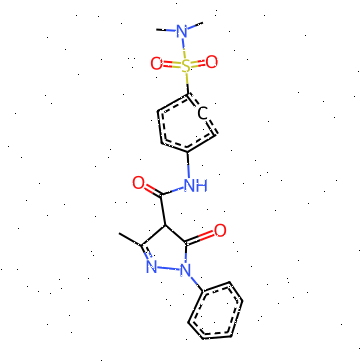 CC1=NN(c2ccccc2)C(=O)C1C(=O)Nc1ccc(S(=O)(=O)N(C)C)cc1